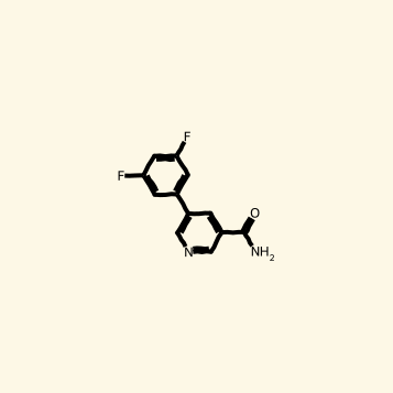 NC(=O)c1cncc(-c2cc(F)cc(F)c2)c1